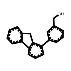 OCc1cccc(-c2cccc3c2Cc2ccccc2-3)c1